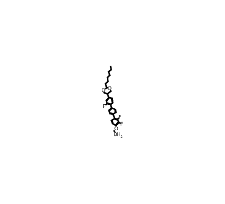 BCOc1ccc(-c2ccc(-c3ccc(C4COC(CCCCCCC)OC4)cc3F)cc2)c(F)c1F